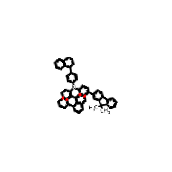 CC1(C)c2ccccc2-c2ccc(-c3ccc(N(c4ccc(-c5cccc6ccccc56)cc4)c4ccccc4-c4cccc5cccc(-c6ccccc6)c45)cc3)cc21